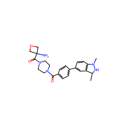 CC1NN(C)c2ccc(-c3ccc(C(=O)N4CCN(C(=O)C5(N)COC5)CC4)cc3)cc21